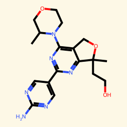 CC1COCCN1c1nc(-c2cnc(N)nc2)nc2c1COC2(C)CCO